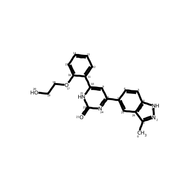 Cc1n[nH]c2ccc(-c3cc(-c4ccccc4OCCO)[nH]c(=O)n3)cc12